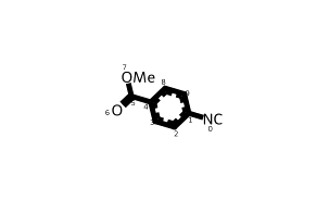 [C-]#[N+]c1ccc(C(=O)OC)cc1